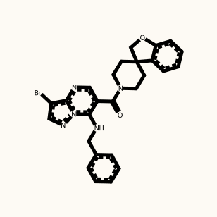 O=C(c1cnc2c(Br)cnn2c1NCc1ccccc1)N1CCC2(CC1)COc1ccccc12